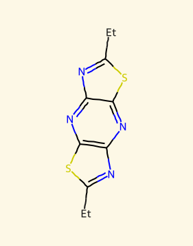 CCc1nc2nc3sc(CC)nc3nc2s1